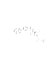 Cc1c(-c2ccc(OC3CCN(C(=O)NCCCO)CC3)cc2)ccc2nccn12